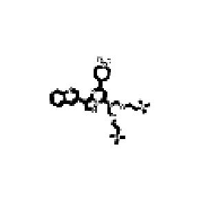 C[Si](C)(C)CCOCN(COCC[Si](C)(C)C)c1cc(C2CCS(=O)(=O)CC2)nc2c(-c3cnc4ccccc4c3)cnn12